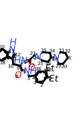 CCc1ccc(CNC(=O)C(Cc2c[nH]c3ccccc23)NC(=O)CN2CCC(N3CCCCC3)CC2)cc1CC